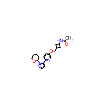 CC(=O)NC1CC(COc2ccc(-c3ccnn3C3CCCCO3)nc2)C1